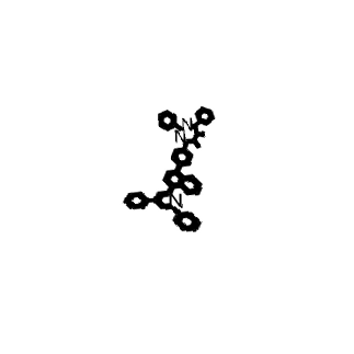 CC1C(c2ccccc2)=NC(c2ccccc2)=NC(c2ccc(-c3ccc(-c4cc(-c5ccccc5)cc(-c5ccccc5)n4)c4ccccc34)cc2)C1C